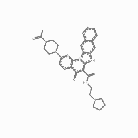 CC(=O)N1CCN(c2ccc3c(=O)c(C(=O)NCCN4CCCC4)c4[nH]c5cc6ccccc6cc5n4c3n2)CC1